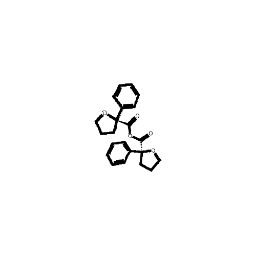 O=C(OC(=O)[C@@]1(c2ccccc2)CCCO1)[C@@]1(c2ccccc2)CCCO1